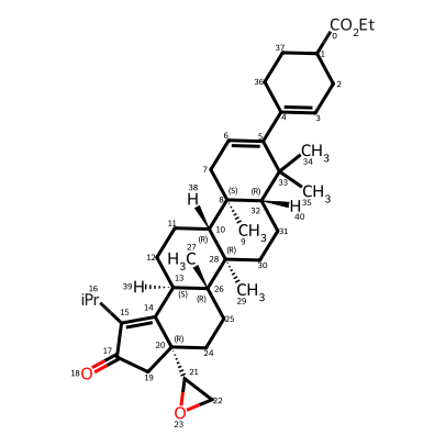 CCOC(=O)C1CC=C(C2=CC[C@]3(C)[C@H]4CC[C@@H]5C6=C(C(C)C)C(=O)C[C@]6(C6CO6)CC[C@@]5(C)[C@]4(C)CC[C@H]3C2(C)C)CC1